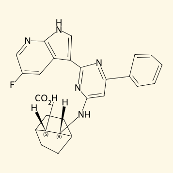 O=C(O)[C@H]1C2CCC(CC2)[C@H]1Nc1cc(-c2ccccc2)nc(-c2c[nH]c3ncc(F)cc23)n1